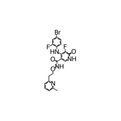 Cc1cccc(CCONC(=O)c2c[nH]c(=O)c(F)c2Nc2ccc(Br)cc2F)n1